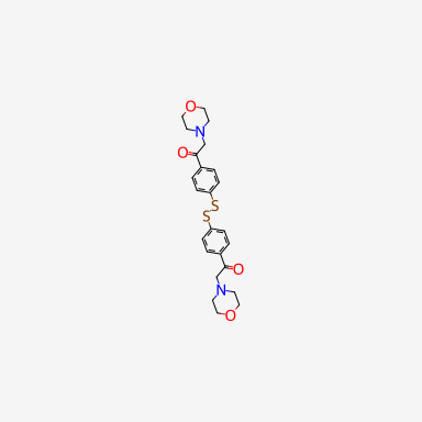 O=C(CN1CCOCC1)c1ccc(SSc2ccc(C(=O)CN3CCOCC3)cc2)cc1